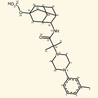 Cc1cccc(N2CCN(C(C)(C)C(=O)NC3C4CC5CC3CC(OC(=O)O)(C5)C4)CC2)c1